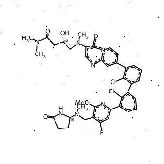 COc1nc(-c2cccc(-c3cccc(-c4ccn5c(=O)c(N(C)C[C@@H](O)CC(=O)N(C)C)cnc5c4)c3Cl)c2Cl)cc(F)c1CN(C)[C@H]1CCC(=O)N1